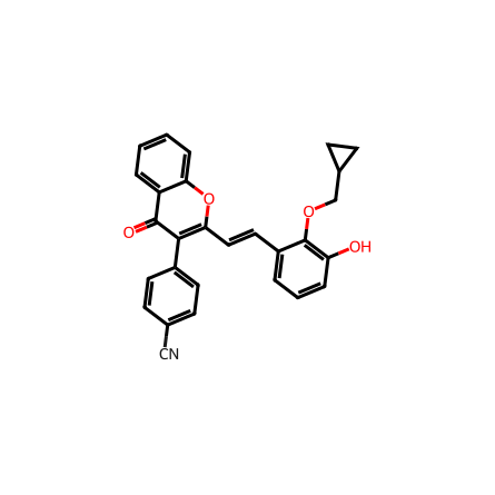 N#Cc1ccc(-c2c(C=Cc3cccc(O)c3OCC3CC3)oc3ccccc3c2=O)cc1